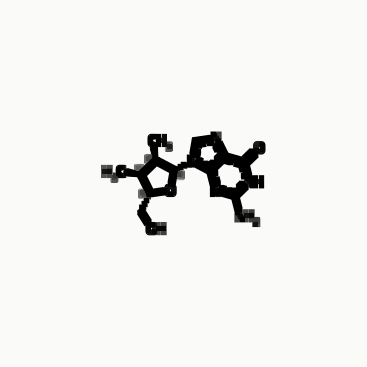 C[C@@H]1[C@H](C)[C@@H](CO)O[C@H]1n1cnc2c(=O)[nH]c(N)nc21